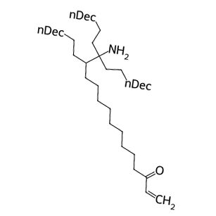 C=CC(=O)CCCCCCCCCC(CCCCCCCCCCCC)C(N)(CCCCCCCCCCCC)CCCCCCCCCCCC